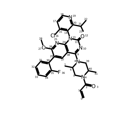 C=CC(=O)N1CC(C)N(c2nc(=O)n(-c3c(Cl)ccnc3C(C)C)c3nc(OC)c(-c4ccccc4F)cc23)CC1C